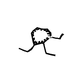 CCc1ccc[si](CC)c1CC